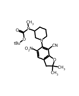 CN(C(=O)OC(C)(C)C)C1CCCN(c2c([N+](=O)[O-])cc3c(c2C#N)OC(C)(C)C3)C1